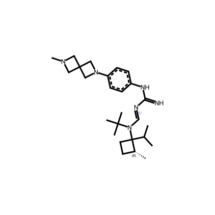 CC(C)C1(N(/C=N/C(=N)Nc2ccc(N3CC4(CN(C)C4)C3)cc2)C(C)(C)C)CC[C@H]1C